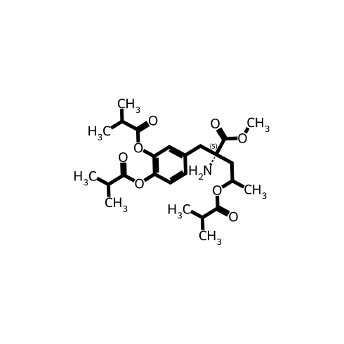 COC(=O)[C@](N)(Cc1ccc(OC(=O)C(C)C)c(OC(=O)C(C)C)c1)CC(C)OC(=O)C(C)C